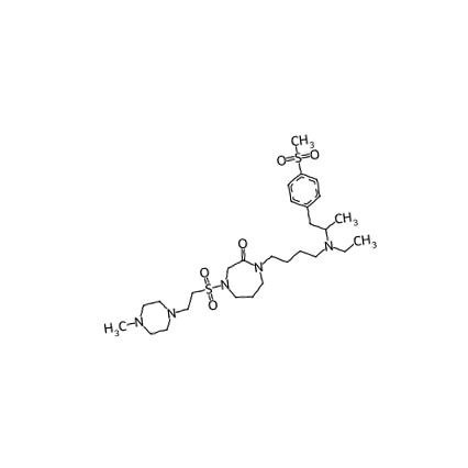 CCN(CCCCN1CCCN(S(=O)(=O)CCN2CCN(C)CC2)CC1=O)C(C)Cc1ccc(S(C)(=O)=O)cc1